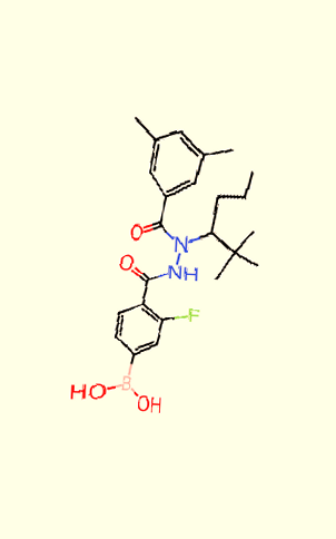 CCCC(N(NC(=O)c1ccc(B(O)O)cc1F)C(=O)c1cc(C)cc(C)c1)C(C)(C)C